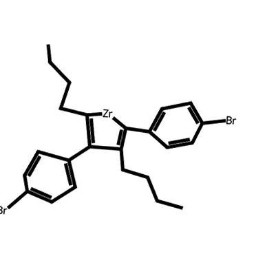 CCCC[C]1=C(c2ccc(Br)cc2)C(CCCC)=[C](c2ccc(Br)cc2)[Zr]1